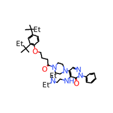 CCN(CC)CCNc1c(N2CCN(C(=O)CCCOc3ccc(C(C)(C)CC)cc3C(C)(C)CC)CC2)cnn(-c2ccccc2)c1=O